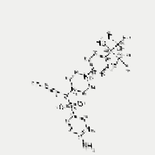 Nc1ccc(S(=O)(=O)C(C#CF)N2CCN(c3ccc(C(O)(C(F)(F)F)C(F)(F)F)cc3)CC2)cn1